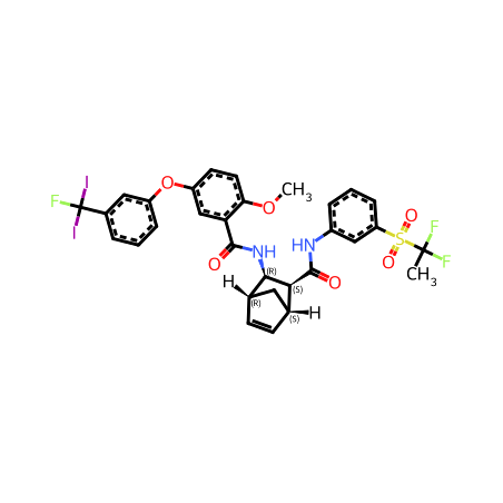 COc1ccc(Oc2cccc(C(F)(I)I)c2)cc1C(=O)N[C@H]1[C@@H](C(=O)Nc2cccc(S(=O)(=O)C(C)(F)F)c2)[C@@H]2C=C[C@H]1C2